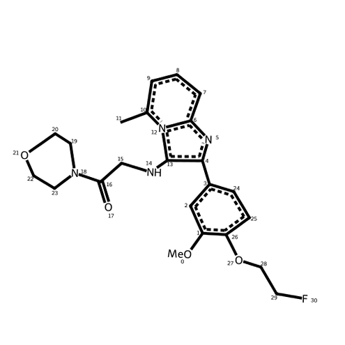 COc1cc(-c2nc3cccc(C)n3c2NCC(=O)N2CCOCC2)ccc1OCCF